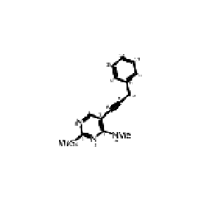 CNc1nc(SC)ncc1C#CCc1ccccc1